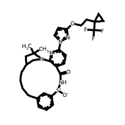 CC1(C)CC2CCCCc3cccc(c3)[S+]([O-])NC(=O)c3ccc(-n4ccc(OCCC5(C(F)(F)F)CC5)n4)nc3N1C2